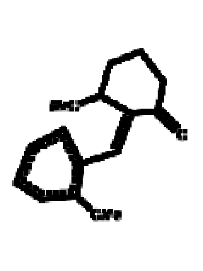 COc1ccccc1C=C1C(=O)CCCC1OC